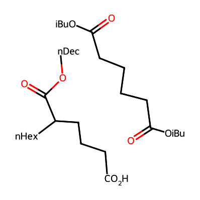 CC(C)COC(=O)CCCCC(=O)OCC(C)C.CCCCCCCCCCOC(=O)C(CCCCCC)CCCC(=O)O